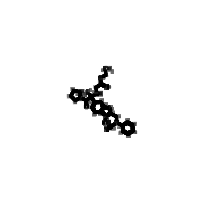 CCOC(=O)CNC(C)(C(=O)N1CCCC1)c1ccc2c(c1)nc(CN(C#N)c1ccccc1)n2C